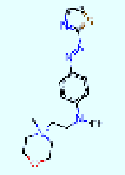 CCN(CC[N+]1(C)CCOCC1)c1ccc(N=Nc2nccs2)cc1